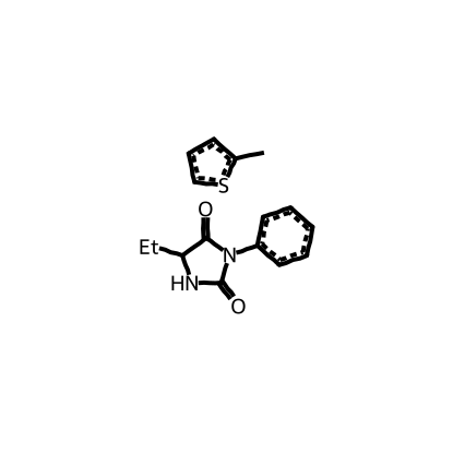 CCC1NC(=O)N(c2ccccc2)C1=O.Cc1cccs1